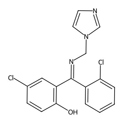 Oc1ccc(Cl)cc1C(=NCn1ccnc1)c1ccccc1Cl